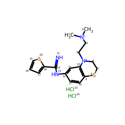 CN(C)CCN1CCSc2ccc(NC(=N)c3cccs3)cc21.Cl.Cl